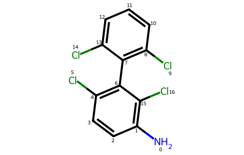 Nc1ccc(Cl)c(-c2c(Cl)cccc2Cl)c1Cl